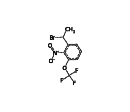 CC(Br)c1cccc(OC(F)(F)F)c1[N+](=O)[O-]